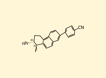 CCC[C@@H]1CCc2c(ccc3cc(-c4ccc(C#N)cc4)ccc23)[C@H]1F